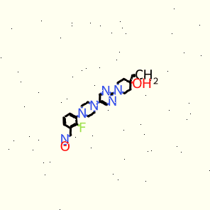 C=CC1(O)CCN(c2ncc(N3CCN(c4cccc(CN=O)c4F)CC3)cn2)CC1